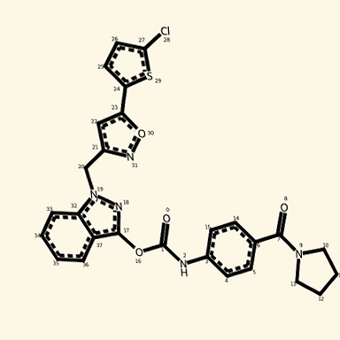 O=C(Nc1ccc(C(=O)N2CCCC2)cc1)Oc1nn(Cc2cc(-c3ccc(Cl)s3)on2)c2ccccc12